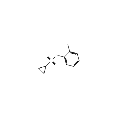 Cc1ccccc1NS(=O)(=O)C1CC1